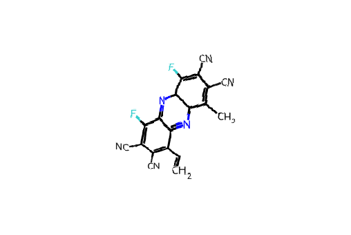 C=Cc1c(C#N)c(C#N)c(F)c2c1=NC1C(C)=C(C#N)C(C#N)=C(F)C1N=2